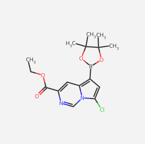 CCOC(=O)c1cc2c(B3OC(C)(C)C(C)(C)O3)cc(Cl)n2cn1